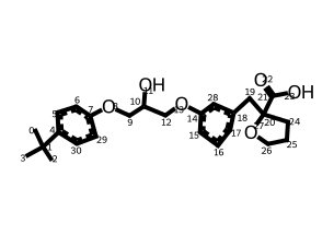 CC(C)(C)c1ccc(OCC(O)COc2cccc(CC3(C(=O)O)CCCO3)c2)cc1